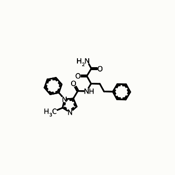 Cc1ncc(C(=O)NC(CCc2ccccc2)C(=O)C(N)=O)n1-c1ccccc1